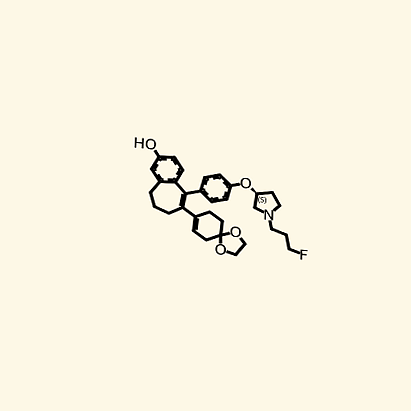 Oc1ccc2c(c1)CCCC(C1=CCC3(CC1)OCCO3)=C2c1ccc(O[C@H]2CCN(CCCF)C2)cc1